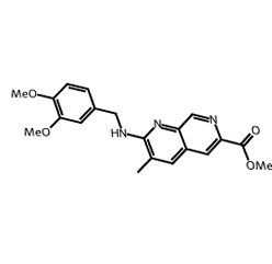 COC(=O)c1cc2cc(C)c(NCc3ccc(OC)c(OC)c3)nc2cn1